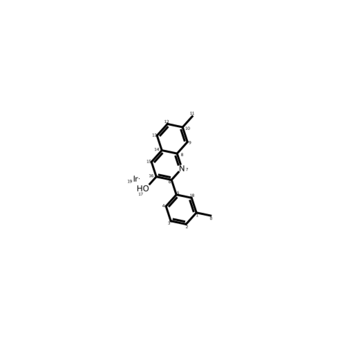 Cc1cccc(-c2nc3cc(C)ccc3cc2O)c1.[Ir]